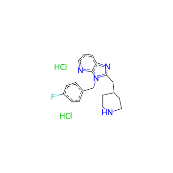 Cl.Cl.Fc1ccc(Cn2c(CC3CCNCC3)nc3cccnc32)cc1